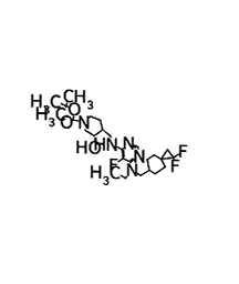 CCN(CC1CCC2(CC1)CC2(F)F)c1ncnc(NC[C@@H]2CCN(C(=O)OC(C)(C)C)C[C@H]2O)c1F